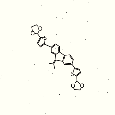 CC(C)=C1c2cc(-c3ccc(C4OCCO4)s3)ccc2-c2ccc(-c3ccc(C4OCCO4)s3)cc21